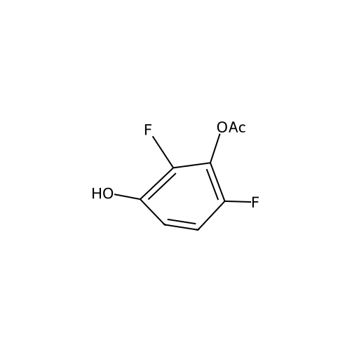 CC(=O)Oc1c(F)ccc(O)c1F